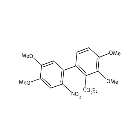 CCOC(=O)c1c(-c2cc(OC)c(OC)cc2[N+](=O)[O-])ccc(OC)c1OC